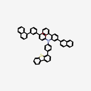 c1ccc(-c2ccc(-c3ccc4ccccc4c3)cc2N(c2ccc(-c3cccc(-c4cccc5ccccc45)c3)cc2)c2ccc(-c3cccc4c3sc3ccccc34)cc2)cc1